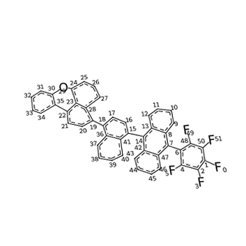 Fc1c(F)c(F)c(-c2c3ccccc3c(-c3ccc(-c4ccc5c6c(cccc46)Oc4ccccc4-5)c4ccccc34)c3ccccc23)c(F)c1F